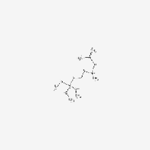 C=C(C)CN(C)CCC[Si](OC)(OC)OC